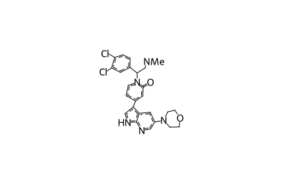 CNCC(c1ccc(Cl)c(Cl)c1)n1ccc(-c2c[nH]c3ncc(N4CCOCC4)cc23)cc1=O